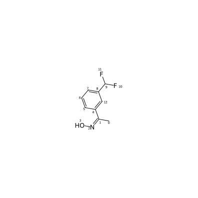 C/C(=N/O)c1cccc(C(F)F)c1